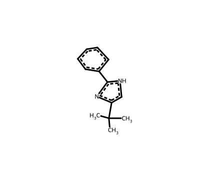 CC(C)(C)c1c[nH]c(-c2ccccc2)n1